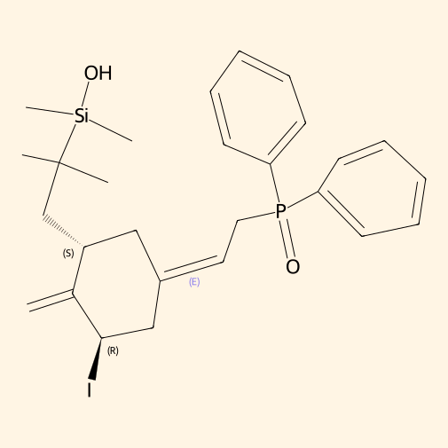 C=C1[C@H](CC(C)(C)[Si](C)(C)O)C/C(=C\CP(=O)(c2ccccc2)c2ccccc2)C[C@H]1I